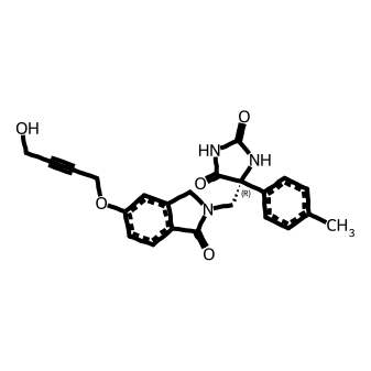 Cc1ccc([C@]2(CN3Cc4cc(OCC#CCO)ccc4C3=O)NC(=O)NC2=O)cc1